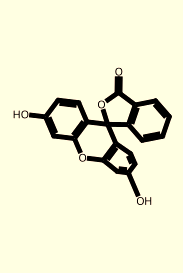 O=C1OC2(c3ccc[c]c31)c1ccc(O)cc1Oc1cc(O)ccc12